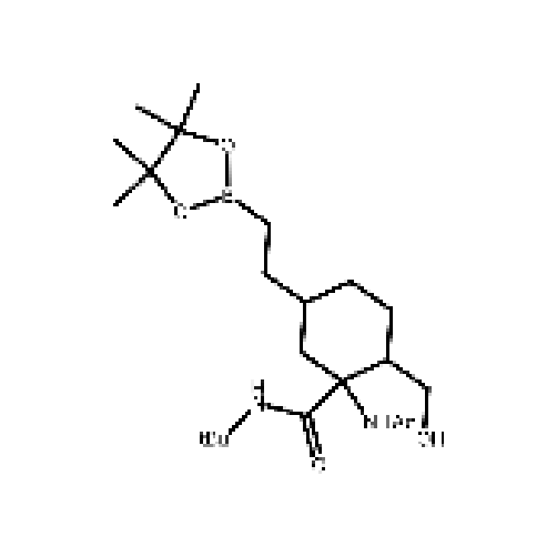 CC(=O)NC1(C(=O)NC(C)(C)C)CC(CCB2OC(C)(C)C(C)(C)O2)CCC1CO